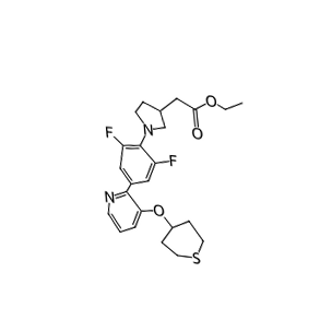 CCOC(=O)CC1CCN(c2c(F)cc(-c3ncccc3OC3CCSCC3)cc2F)C1